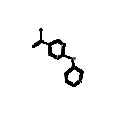 O=[N+]([O-])c1cnc(Nc2cccnc2)nc1